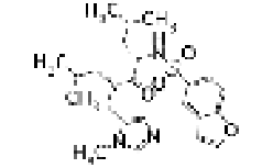 CC(C)C[C@H](NS(=O)(=O)c1ccc2occc2c1)C(=O)N(Cc1cncn1C)CC(C)C